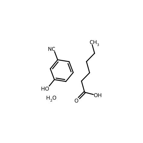 CCCCCC(=O)O.N#Cc1cccc(O)c1.O